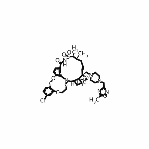 CO[C@@]1(CN2CCN(Cc3noc(C)n3)CC2)/C=C/C[C@H](C)[C@@H](C)S(=O)(=O)NC(=O)c2ccc3c(c2)N(CCCCc2cc(Cl)ccc2CO3)C[C@@H]2CC[C@H]21